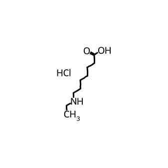 CCNCCCCCCC(=O)O.Cl